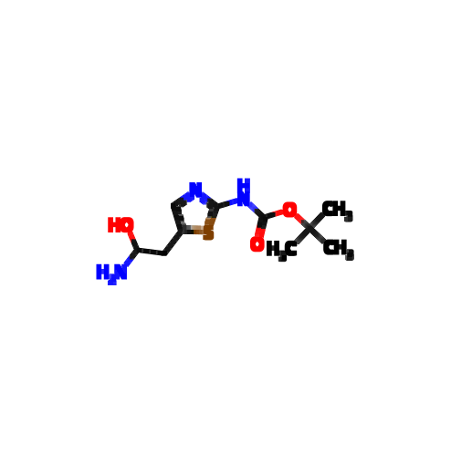 CC(C)(C)OC(=O)Nc1ncc(CC(N)O)s1